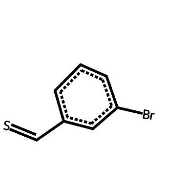 S=Cc1cccc(Br)c1